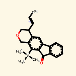 CCC/C=C/C1COCc2c1cc1c(c2[Si](C)(C)C)C(=O)c2ccccc2-1